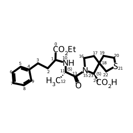 CCOC(=O)C(CCc1ccccc1)N[C@@H](C)C(=O)N1CCC2(CCSC2)[C@H]1C(=O)O